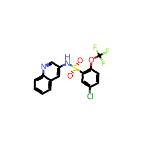 O=S(=O)(Nc1cnc2ccccc2c1)c1cc(Cl)ccc1OC(F)(F)F